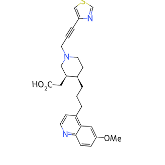 COc1ccc2nccc(CCC[C@@H]3CCN(CC#Cc4cscn4)C[C@@H]3CC(=O)O)c2c1